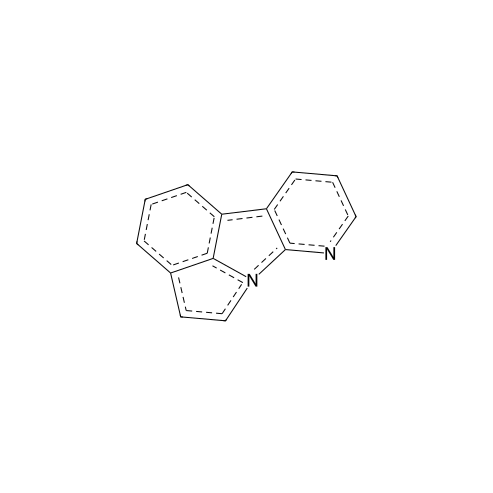 c1cnc2c(c1)c1cccc3ccn2c31